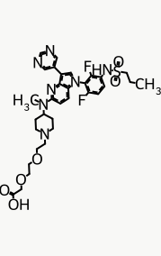 CCCS(=O)(=O)Nc1ccc(F)c(-n2cc(-c3cncnc3)c3nc(N(C)C4CCN(CCOCCOCC(=O)O)CC4)ccc32)c1F